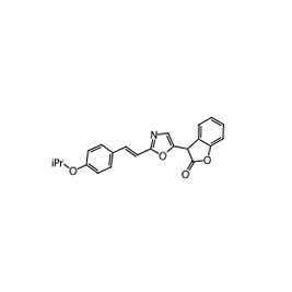 CC(C)Oc1ccc(/C=C/c2ncc(C3C(=O)Oc4ccccc43)o2)cc1